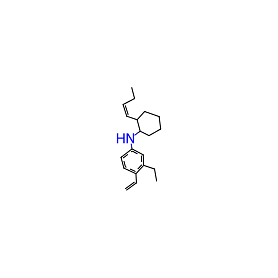 C=Cc1ccc(NC2CCCCC2/C=C\CC)cc1CC